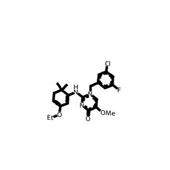 CCOC1=CCC(C)(C)C(Nc2nc(=O)c(OC)cn2Cc2cc(F)cc(Cl)c2)=C1